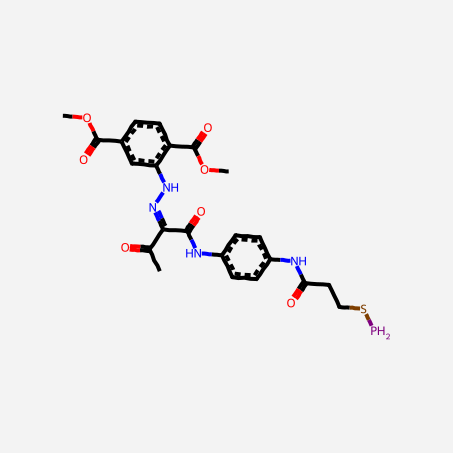 COC(=O)c1ccc(C(=O)OC)c(N/N=C(/C(C)=O)C(=O)Nc2ccc(NC(=O)CCSP)cc2)c1